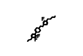 C/C=C/CCc1ccc(CCC2CC=C(c3ccc(CCC)c(F)c3F)CC2)cc1F